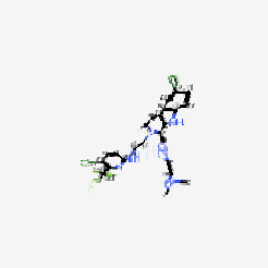 CN(C)CCNCC1c2[nH]c3ccc(Cl)cc3c2CCN1CCNc1ccc(Cl)c(C(F)(F)F)n1